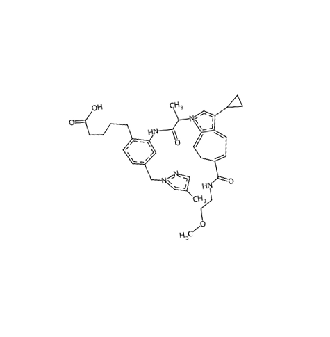 COCCNC(=O)C1=CC=c2c(C3CC3)cn(C(C)C(=O)Nc3cc(Cn4cc(C)cn4)ccc3CCCCC(=O)O)c2=CC1